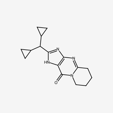 O=c1c2[nH]c(C(C3CC3)C3CC3)nc2nc2n1CCCC2